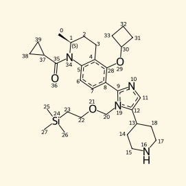 C[C@H]1CCc2c(ccc(-c3ncc(C4CCNCC4)n3COCC[Si](C)(C)C)c2OC2CCC2)N1C(=O)C1CC1